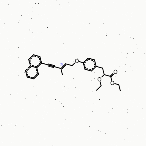 CCOC(=O)C(Cc1ccc(OC/C=C(\C)C#Cc2cccc3ccccc23)cc1)OCC